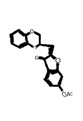 CC(=O)Oc1ccc2c(c1)OC(=CC1COc3ccccc3O1)C2=O